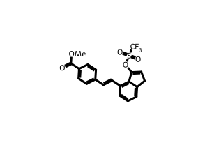 COC(=O)c1ccc(/C=C/c2cccc3c2C(OS(=O)(=O)C(F)(F)F)=CC3)cc1